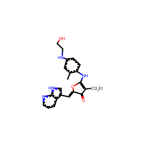 CCOC(=O)C1=C(Nc2ccc(NCCO)cc2C)OC(=Cc2c[nH]c3ncccc23)C1=O